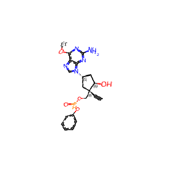 C#C[C@@]1(CO[PH](=O)Oc2ccccc2)C[C@H](n2cnc3c(OCC)nc(N)nc32)C[C@H]1O